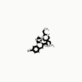 CCC1OCC(CC)(C(O)=C(Cc2ccc(Br)cc2)n2cncn2)CO1